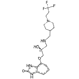 O=c1[nH]c2cccc(OC[C@@H](O)CNCC3CCN(CCC(F)(F)F)CC3)c2[nH]1